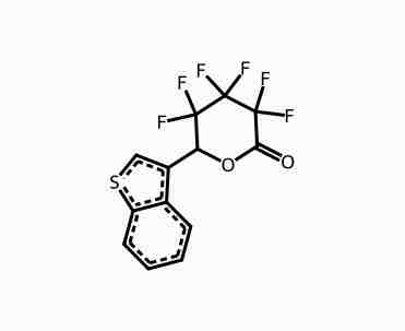 O=C1OC(c2csc3ccccc23)C(F)(F)C(F)(F)C1(F)F